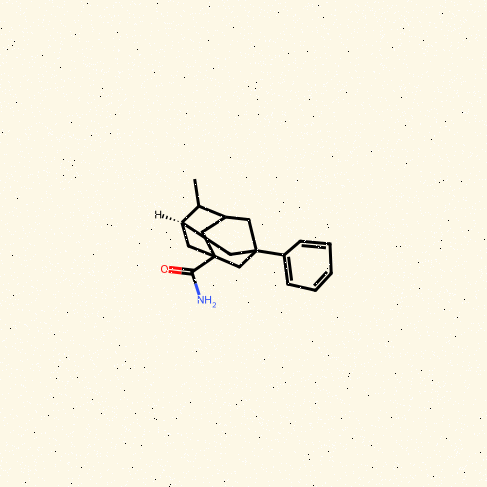 CC1C2CC3(C(N)=O)C[C@@H]1CC(c1ccccc1)(C2)C3